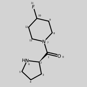 O=C([C@H]1CCCN1)N1CCC(F)CC1